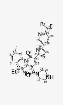 CCOc1ccc(C)cc1-n1c(CC(C)C)c(C(=O)N2CCNCC2)cc(-c2nc(-c3ccc(C(F)F)nc3)cs2)c1=O